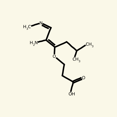 C/N=C\C(N)=C(/CC(C)C)OCCC(=O)O